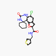 O=C1Nc2c(Cl)cc3cc(C(=O)NCc4ccsc4)oc3c2C2(CCCCC2)N1